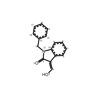 O=C1/C(=C\O)c2ccccc2N1Cc1ccccc1